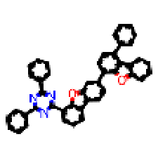 c1ccc(-c2nc(-c3ccccc3)nc(-c3cccc4c3oc3cc(-c5ccc(-c6ccccc6)c6c5oc5ccccc56)ccc34)n2)cc1